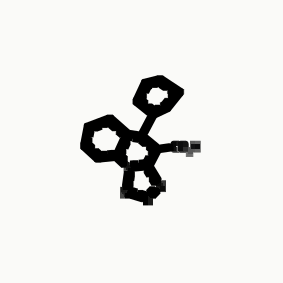 O=C(O)c1c(-c2ccccc2)c2ccccc2n2nnnc12